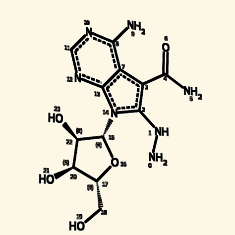 NNc1c(C(N)=O)c2c(N)ncnc2n1[C@@H]1O[C@H](CO)[C@@H](O)[C@H]1O